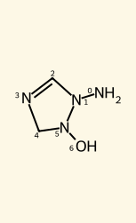 NN1C=NCN1O